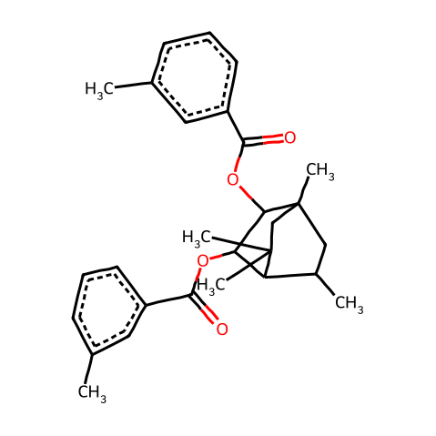 Cc1cccc(C(=O)OC2C3C(C)CC(C)(CC3(C)C)C2OC(=O)c2cccc(C)c2)c1